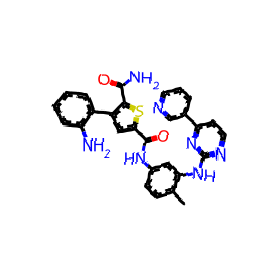 Cc1ccc(NC(=O)c2cc(-c3ccccc3N)c(C(N)=O)s2)cc1Nc1nccc(-c2cccnc2)n1